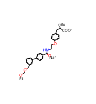 CCCCC(Cc1ccc(OCCNC(=O)c2ccc(-c3cccc(COCOCC)c3)cc2)cc1)C(=O)[O-].[Na+]